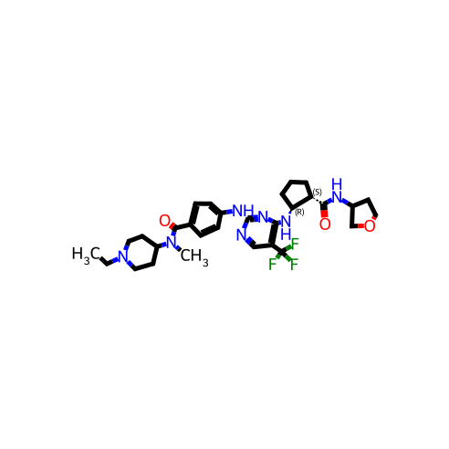 CCN1CCC(N(C)C(=O)c2ccc(Nc3ncc(C(F)(F)F)c(N[C@@H]4CCC[C@@H]4C(=O)NC4CCOC4)n3)cc2)CC1